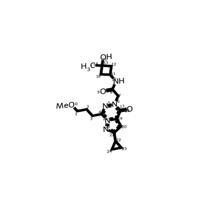 COCCCc1nn(CC(=O)NC2CC(C)(O)C2)c(=O)c2cc(C3CC3)nn12